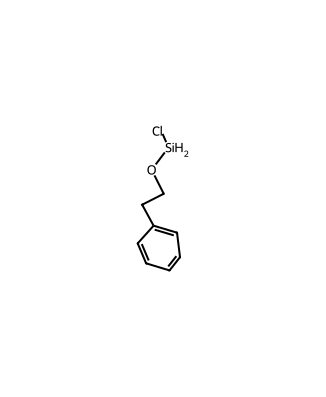 Cl[SiH2]OCCc1ccccc1